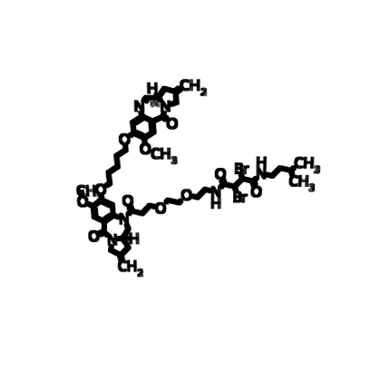 C=C1C[C@H]2CN(C(=O)CCOCCOCCNC(=O)C(Br)C(Br)C(=O)NCCC(C)C)c3cc(OCCCCCOc4cc5c(cc4OC)C(=O)N4CC(=C)C[C@H]4C=N5)c(OC)cc3C(=O)N2C1